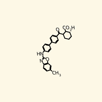 Cc1ccc2nc(Nc3ccc(-c4ccc(C(=O)C5CCCCC5C(=O)O)cc4)cc3)oc2c1